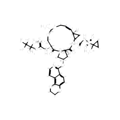 C[C@@H]1CC/C=C\[C@@H]2C[C@@]2(C(=O)NS(=O)(=O)C2(C)CC2)NC(=O)[C@@H]2C[C@@H](Oc3nccc4c5c(ccc34)OCCO5)CN2C(=O)[C@@H](NC(=O)OC(C)(C)C(F)(F)F)[C@H](C)O1